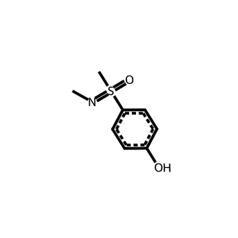 CN=S(C)(=O)c1ccc(O)cc1